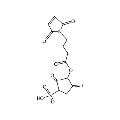 O=C(CCCN1C(=O)C=CC1=O)OC1C(=O)CC(S(=O)(=O)O)C1=O